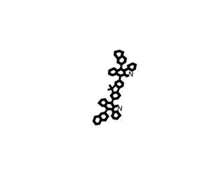 CC1(C)c2cc(-c3c4ccccc4c(-c4ccc5ccccc5c4)c4c3cnc3ccccc34)ccc2-c2ccc(-c3c4ccccc4c(-c4ccc5ccccc5c4)c4c3cnc3ccccc34)cc21